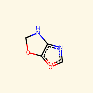 c1nc2c(o1)OCN2